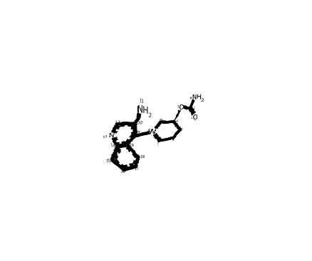 NC(=O)O[C@H]1CCCN(c2c(N)cnc3ccccc23)C1